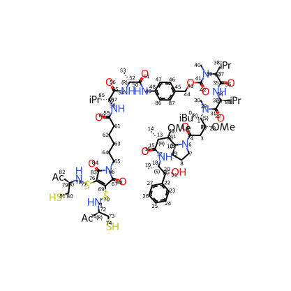 CC[C@@H](C)[C@@H]([C@@H](CC(=O)N1CCC[C@H]1[C@H](OC)[C@@H](C)C(=O)N[C@@H](C)[C@H](O)c1ccccc1)OC)N(C)C(=O)[C@@H](NC(=O)[C@H](C(C)C)N(C)C(=O)OCc1ccc(NC(=O)[C@@H](C)NC(=O)[C@H](NC(=O)CCCCCN2C(=O)C(SN[C@@H](CS)C(C)=O)=C(SN[C@@H](CS)C(C)=O)C2=O)C(C)C)cc1)C(C)C